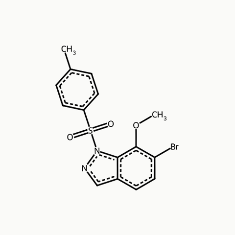 COc1c(Br)ccc2cnn(S(=O)(=O)c3ccc(C)cc3)c12